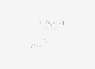 COC(=O)N1CCC(Nc2ccc(Cl)cc2[N+](=O)[O-])CC1C